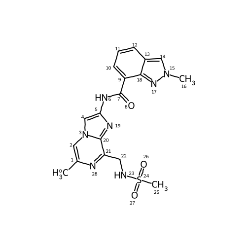 Cc1cn2cc(NC(=O)c3cccc4cn(C)nc34)nc2c(CNS(C)(=O)=O)n1